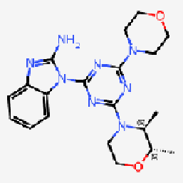 C[C@@H]1OCCN(c2nc(N3CCOCC3)nc(-n3c(N)nc4ccccc43)n2)[C@H]1C